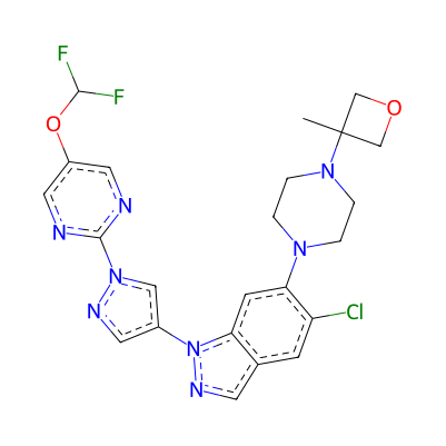 CC1(N2CCN(c3cc4c(cnn4-c4cnn(-c5ncc(OC(F)F)cn5)c4)cc3Cl)CC2)COC1